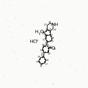 Cl.Cn1c2c(c3ccc(-n4ccc(-c5ccccc5)cc4=O)cc31)CNCC2